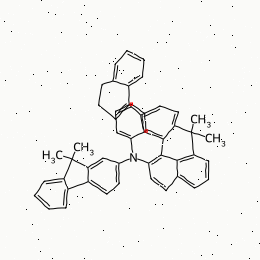 CC1(C)c2ccccc2-c2ccc(N(c3ccccc3)c3ccc4cccc5c4c3-c3cc(C4=CCCc6ccccc64)ccc3C5(C)C)cc21